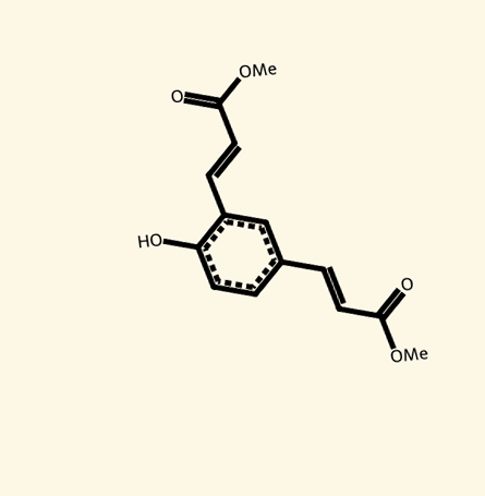 COC(=O)C=Cc1ccc(O)c(C=CC(=O)OC)c1